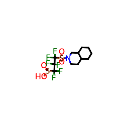 O=S(O)C(F)(F)C(F)(F)C(F)(F)S(=O)(=O)N1CCC2CCCCC2C1